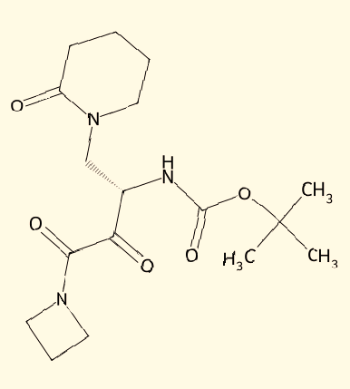 CC(C)(C)OC(=O)N[C@@H](CN1CCCCC1=O)C(=O)C(=O)N1CCC1